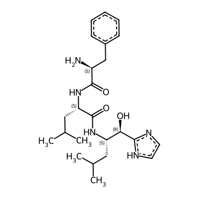 CC(C)C[C@H](NC(=O)[C@@H](N)Cc1ccccc1)C(=O)N[C@@H](CC(C)C)[C@@H](O)c1ncc[nH]1